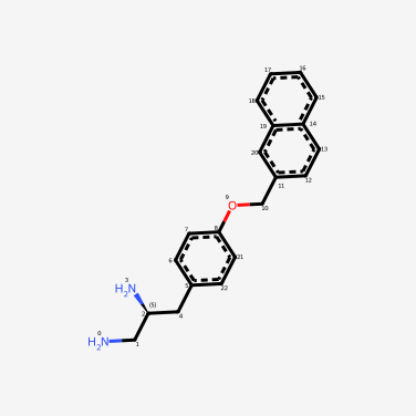 NC[C@@H](N)Cc1ccc(OCc2ccc3ccccc3c2)cc1